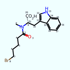 CN(C(=O)CCCCBr)[C@@H](Cc1c[nH]c2ccccc12)C(=O)O